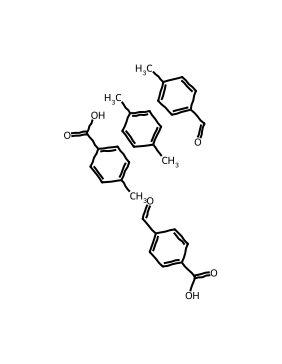 Cc1ccc(C(=O)O)cc1.Cc1ccc(C)cc1.Cc1ccc(C=O)cc1.O=Cc1ccc(C(=O)O)cc1